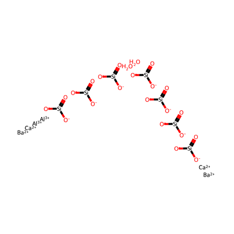 O.O.O=[Si]([O-])[O-].O=[Si]([O-])[O-].O=[Si]([O-])[O-].O=[Si]([O-])[O-].O=[Si]([O-])[O-].O=[Si]([O-])[O-].O=[Si]([O-])[O-].[Al+3].[Al+3].[Ba+2].[Ba+2].[Ca+2].[Ca+2]